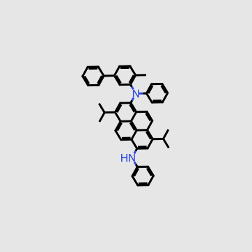 Cc1ccc(-c2ccccc2)cc1N(c1ccccc1)c1cc(C(C)C)c2ccc3c(Nc4ccccc4)cc(C(C)C)c4ccc1c2c34